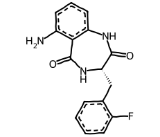 Nc1cccc2c1C(=O)N[C@@H](Cc1ccccc1F)C(=O)N2